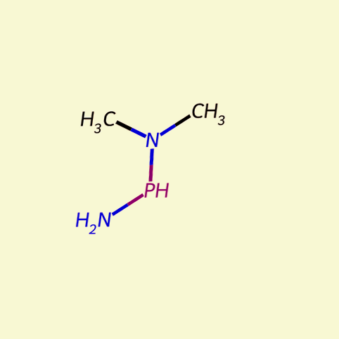 CN(C)PN